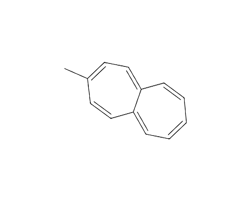 CC1=CC=C2C=CC=CC=C2C=C1